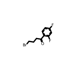 O=C(CCCBr)c1ccc(F)cc1F